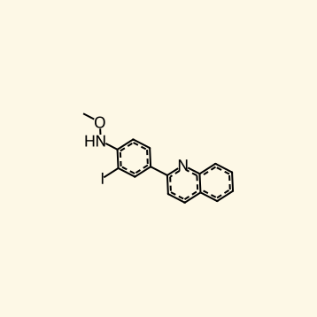 CONc1ccc(-c2ccc3ccccc3n2)cc1I